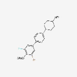 CCCC1CCC(c2ccc(-c3cc(F)c(OC)c(Br)c3)cc2)CC1